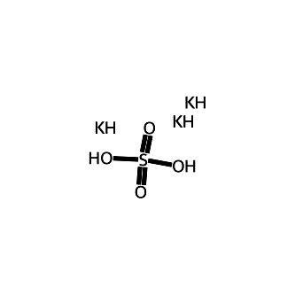 O=S(=O)(O)O.[KH].[KH].[KH]